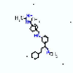 C=N/C=C(\CCC1CCCCC1)c1cccc(NCC23CCC(/C(C)=N/C(C)=N)(CC2)C3)c1